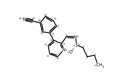 CCCC[S@+]([O-])/N=C\c1ncccc1-c1cccc(C#N)c1